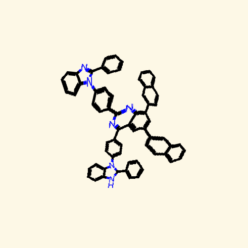 c1ccc(-c2nc3ccccc3n2-c2ccc(-c3nc(-c4ccc(N5c6ccccc6NC5c5ccccc5)cc4)c4cc(-c5ccc6ccccc6c5)cc(-c5ccc6ccccc6c5)c4n3)cc2)cc1